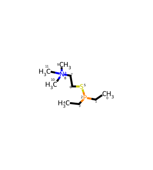 CCP(CC)SCC[N+](C)(C)C